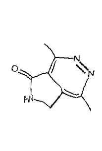 Cc1nnc(C)c2c1CNC2=O